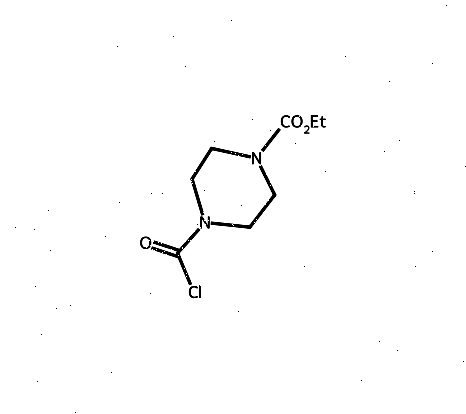 CCOC(=O)N1CCN(C(=O)Cl)CC1